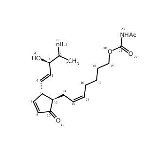 CCCCC(C)[C@H](O)/C=C/[C@H]1C=CC(=O)[C@@H]1C/C=C\CCCCOC(=O)NC(C)=O